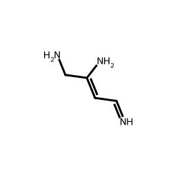 N=C/C=C(\N)CN